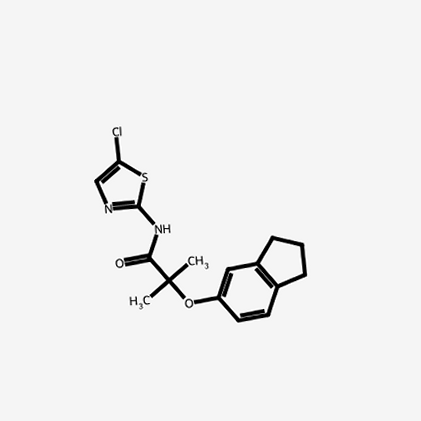 CC(C)(Oc1ccc2c(c1)CCC2)C(=O)Nc1ncc(Cl)s1